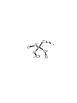 C[Si](OCl)(OCl)OCl